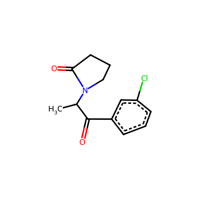 C[C](C(=O)c1cccc(Cl)c1)N1CCCC1=O